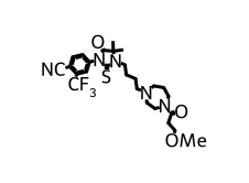 COCCC(=O)N1CCCN(CCCCN2C(=S)N(c3ccc(C#N)c(C(F)(F)F)c3)C(=O)C2(C)C)CC1